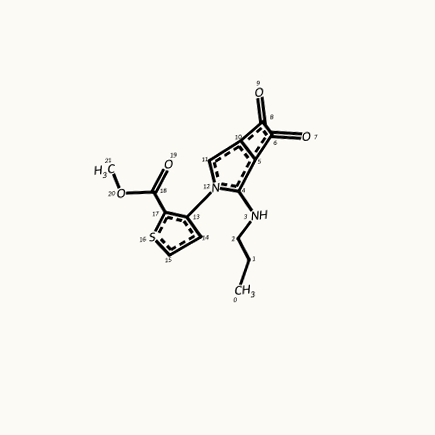 CCCNc1c2c(=O)c(=O)c2cn1-c1ccsc1C(=O)OC